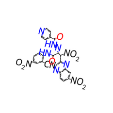 N#Cc1cc([N+](=O)[O-])ccc1NC(=O)/C(=N\NC(=O)c1ccncc1)C(c1cnc2ccc([N+](=O)[O-])cc2n1)[N+](=O)[O-]